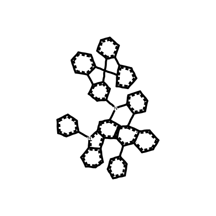 c1ccc(-c2ccc(-c3ccccc3N(c3ccc4c(c3)C3(c5ccccc5-c5ccccc53)c3ccccc3-4)c3ccc4c5ccccc5n(-c5ccccc5)c4c3)c3ccccc23)cc1